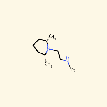 CC(C)NCCN1[C@H](C)CCC[C@@H]1C